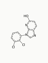 Oc1ccc2ncn(-c3cccc(Cl)c3Cl)c2n1